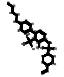 C=CC1CCC(C(F)(F)Oc2ccc(-c3ccc(CC/C=C/C)cc3)c(C(F)(F)F)c2F)CO1